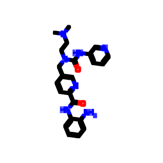 CN(C)CCN(Cc1ccc(C(=O)Nc2ccccc2N)nc1)C(=O)Nc1cccnc1